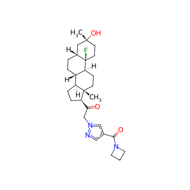 C[C@@]1(O)CC[C@@]2(F)[C@H](CC[C@H]3[C@@H]4CC[C@H](C(=O)Cn5cc(C(=O)N6CCC6)cn5)[C@@]4(C)CC[C@@H]32)C1